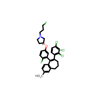 Cl.O=C(O)c1ccc2c(c1)CCCC(c1ccc(Cl)cc1Cl)=C2c1cc(O[C@@H]2CCN(CCCF)C2)ccc1F